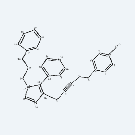 Fc1ccc(CCC#CCc2ncn(CCCc3ccccc3)c2-c2ccncc2)cc1